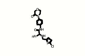 CCCC(NCc1ccc(Cl)s1)C(=O)Nc1ccc(N2CCOCC2=O)cc1